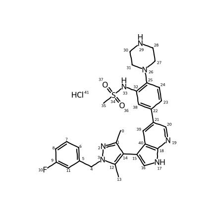 Cc1nn(Cc2cccc(F)c2)c(C)c1-c1c[nH]c2ncc(-c3ccc(N4CCNCC4)c(NS(C)(=O)=O)c3)cc12.Cl